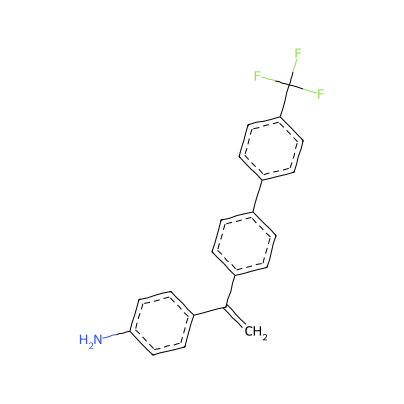 C=C(c1ccc(N)cc1)c1ccc(-c2ccc(C(F)(F)F)cc2)cc1